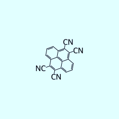 N#Cc1c(C#N)c2cccc3c(C#N)c(C#N)c4cccc1c4c23